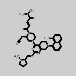 Cc1cccc2cccc(N3CCc4c(nc(OCC5CCCN5C)nc4N4CCN(C(=O)/C=C/C(=O)N(C)C)C(CC#N)C4)C3)c12